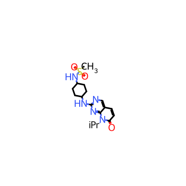 CC(C)n1c(=O)ccc2cnc(NC3CCC(NS(C)(=O)=O)CC3)nc21